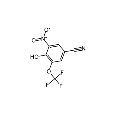 N#Cc1cc(OC(F)(F)F)c(O)c([N+](=O)[O-])c1